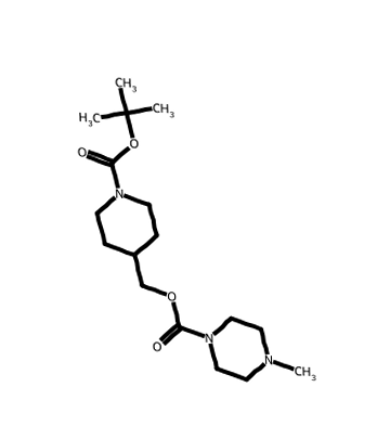 CN1CCN(C(=O)OCC2CCN(C(=O)OC(C)(C)C)CC2)CC1